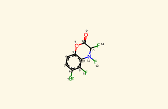 O=C1Oc2ccc(Br)c(F)c2N(F)C1F